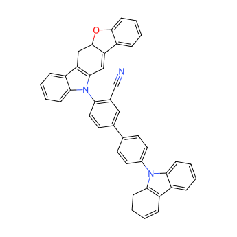 N#Cc1cc(-c2ccc(-n3c4c(c5ccccc53)C=CCC4)cc2)ccc1-n1c2c(c3ccccc31)CC1Oc3ccccc3C1=C2